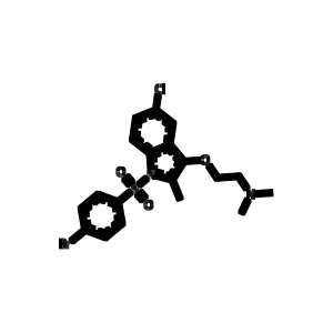 Cc1c(OCCN(C)C)c2cc(Cl)ccc2n1S(=O)(=O)c1ccc(Br)cc1